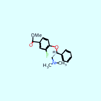 COC(=O)c1ccc(O[C@@H](CN(C)C)c2ccccc2)c(F)c1